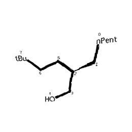 CCCCCC[C@@H](CO)CCC(C)(C)C